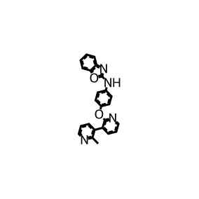 Cc1ncccc1-c1cccnc1Oc1ccc(Nc2nc3ccccc3o2)cc1